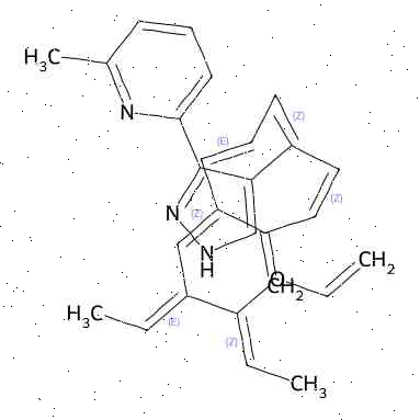 C=COC(=C\C)/C(/C=C1/C=C/C=C(c2c[nH]nc2-c2cccc(C)n2)/C=C\C1=C)=C/C